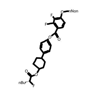 CCCCCCCCCOc1ccc(C(=O)Oc2ccc(C3CCC(OC(=O)[C@H](F)CCCC)CC3)cc2)c(F)c1F